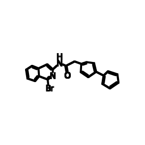 O=C(Cc1ccc(-c2ccccc2)cc1)Nc1cc2ccccc2c(Br)n1